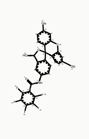 O=C(Nc1ccc2c(c1)C(O)OC21c2ccc(O)cc2Oc2cc(O)ccc21)c1c(F)c(F)c(F)c(F)c1F